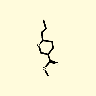 CCCC1CCC(C(=O)OC)CO1